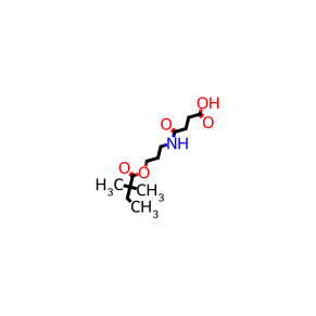 CCC(C)(C)C(=O)OCCCNC(=O)CCC(=O)O